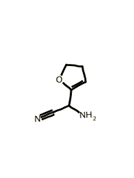 N#CC(N)C1=CCCO1